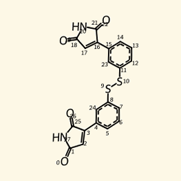 O=C1C=C(c2cccc(SSc3cccc(C4=CC(=O)NC4=O)c3)c2)C(=O)N1